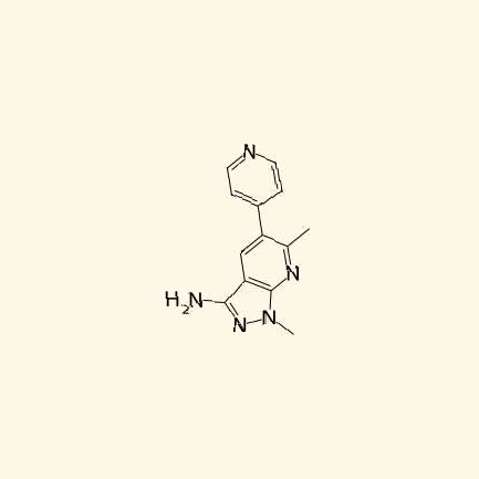 Cc1nc2c(cc1-c1ccncc1)c(N)nn2C